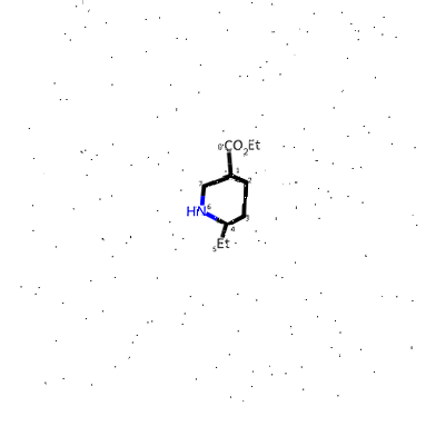 CCOC(=O)C1CCC(CC)NC1